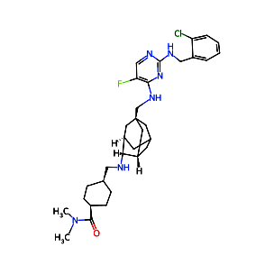 CN(C)C(=O)[C@H]1CC[C@@H](CN[C@@H]2[C@@H]3CC4C[C@H]2C[C@@](CNc2nc(NCc5ccccc5Cl)ncc2F)(C4)C3)CC1